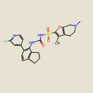 CN1CCc2c(oc(S(=O)(=O)NC(=O)Nc3c(-c4ccnc(F)c4)ccc4c3CCC4)c2C#N)C1